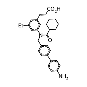 CCc1cc(/C=C/C(=O)O)cc(N(Cc2ccc(-c3ccc(N)cc3)cc2)C(=O)C2CCCCC2)c1